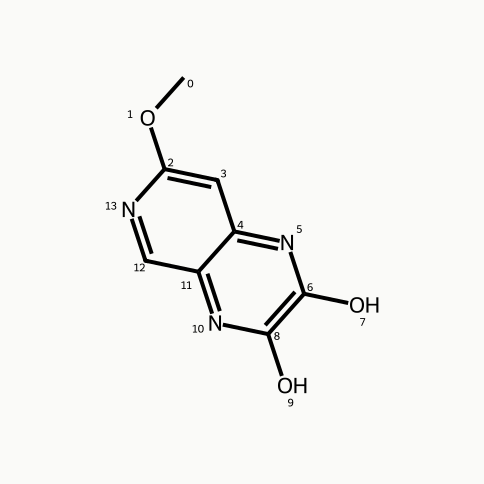 COc1cc2nc(O)c(O)nc2cn1